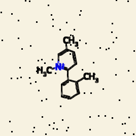 Cc1ccc(-c2ccccc2C)[n+](C)c1